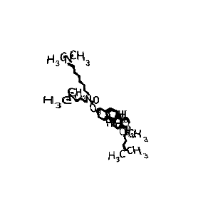 CC(C)CCC[C@@H](C)[C@H]1CC[C@H]2[C@@H]3CC=C4C[C@@H](OC(=O)N(CCCCCCCCN(C)C)CCCN(C)C)CC[C@]4(C)[C@H]3CC[C@]12C